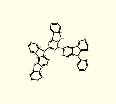 c1ccc(-n2c3ccccc3c3cc(-c4nc(-n5c6ccccc6c6c7sc8ccccc8c7ccc65)nc5c4sc4ccccc45)ccc32)cc1